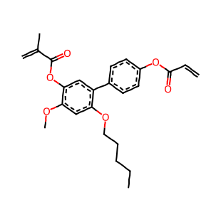 C=CC(=O)Oc1ccc(-c2cc(OC(=O)C(=C)C)c(OC)cc2OCCCCC)cc1